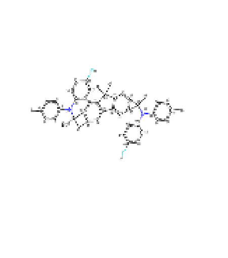 CCC1(N(c2ccc(C)cc2)c2ccc(F)cc2)Cc2cc3c(cc21)C(C)(C)c1cc2c(cc1-3)C2(C)N(c1ccc(C)cc1)c1ccc(F)cc1